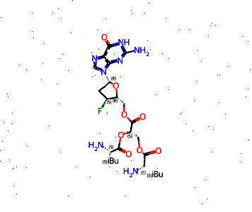 CC[C@H](C)[C@H](N)C(=O)OC[C@H](OC(=O)[C@@H](N)[C@@H](C)CC)C(=O)OC[C@H]1O[C@@H](n2cnc3c(=O)[nH]c(N)nc32)C[C@@H]1F